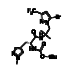 Cn1cc(C[C@@H](NC(=O)OC(C)(C)C)C(=O)NC(C)(C)Cn2nc(C(F)(F)F)cc2Br)cn1